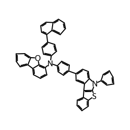 c1ccc(-n2c3ccc(-c4ccc(N(c5ccc(-c6cccc7ccccc67)cc5)c5cccc6c5oc5ccccc56)cc4)cc3c3c4ccccc4sc32)cc1